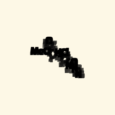 COC1(c2cccc(Sc3ccc(N(C)C(=O)N4CCN(C)CC4)cc3)c2)CCOCC1.Cl